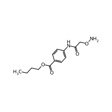 CCCCOC(=O)c1ccc(NC(=O)CON)cc1